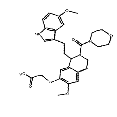 COc1ccc2[nH]cc(CCC3c4cc(OCC(=O)O)c(OC)cc4CCN3C(=O)N3CCOCC3)c2c1